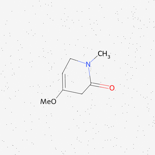 COC1=CCN(C)C(=O)C1